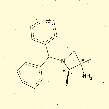 C[C@H]1N(C(c2ccccc2)c2ccccc2)C[C@@]1(C)N